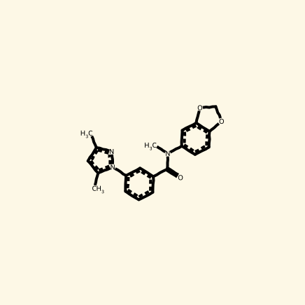 Cc1cc(C)n(-c2cccc(C(=O)N(C)c3ccc4c(c3)OCO4)c2)n1